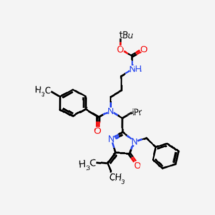 CC(C)=C1N=C(C(C(C)C)N(CCCNC(=O)OC(C)(C)C)C(=O)c2ccc(C)cc2)N(Cc2ccccc2)C1=O